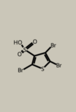 O=S(=O)(O)c1c(Br)sc(Br)c1Br